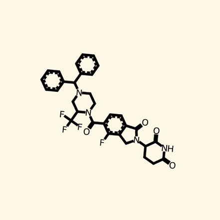 O=C1CCC(N2Cc3c(ccc(C(=O)N4CCN(C(c5ccccc5)c5ccccc5)CC4C(F)(F)F)c3F)C2=O)C(=O)N1